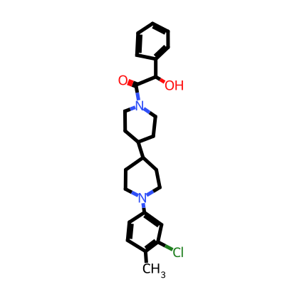 Cc1ccc(N2CCC(C3CCN(C(=O)C(O)c4ccccc4)CC3)CC2)cc1Cl